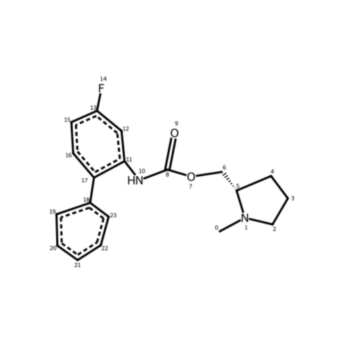 CN1CCC[C@H]1COC(=O)Nc1cc(F)ccc1-c1ccccc1